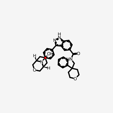 O=C(NCC1(c2ccccc2)CCOCC1)c1ccc2[nH]nc(-c3ccc(N4[C@@H]5COC[C@H]4C[C@@H](O)C5)cc3)c2c1